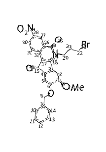 COc1cc2c(cc1OCc1ccccc1)C(=O)c1c-2n(CCCBr)c(=O)c2cc([N+](=O)[O-])ccc12